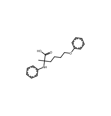 CC(CCCCOc1ccccc1)(Nc1ccccc1)C(=O)O